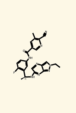 CCn1cc2ncc(N[C@@H](C)c3cc(NC(=O)c4cnc(C#N)c(C)c4)ccc3F)nc2n1